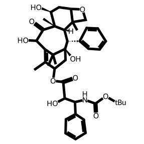 CC1=C2C(O)C(=O)[C@@]3(C)[C@H]([C@H](c4ccccc4)[C@](O)(CC1OC(=O)C(O)C(NC(=O)OC(C)(C)C)c1ccccc1)C2(C)C)C1(C)COC1C[C@@H]3O